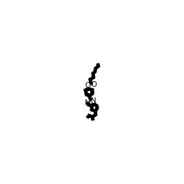 CCCCCCCC(=O)Oc1ccc(-c2ncc3c(n2)CCC(CC(C)CC)C3)cc1